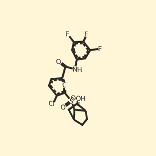 O=C(Nc1cc(F)c(F)c(F)c1)c1ccc(Cl)c(S(=O)(=O)C2C3CCC2[C@H](O)C3)c1